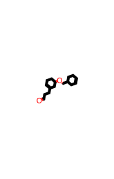 O=CCCC1=CCCC(OCC2CC=CCC2)C1